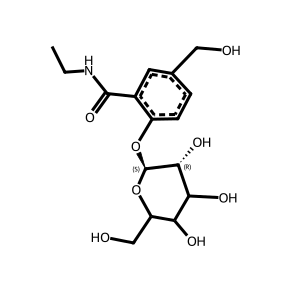 CCNC(=O)c1cc(CO)ccc1O[C@@H]1OC(CO)C(O)C(O)[C@H]1O